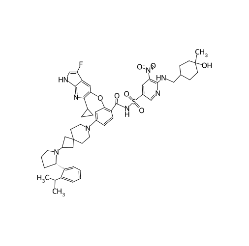 CC(C)c1ccccc1[C@@H]1CCCN1C1CC2(CCN(c3ccc(C(=O)NS(=O)(=O)c4cnc(NCC5CCC(C)(O)CC5)c([N+](=O)[O-])c4)c(Oc4cc5c(F)c[nH]c5nc4C4CC4)c3)CC2)C1